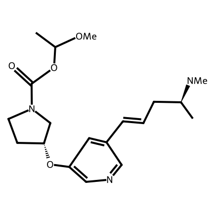 CN[C@@H](C)C/C=C/c1cncc(O[C@@H]2CCN(C(=O)OC(C)OC)C2)c1